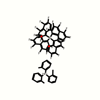 Cc1ccccc1[PH+](c1ccccc1C)c1ccccc1C.Fc1ccc2c([B-](c3c(F)c(F)c(F)c4c(F)c(F)ccc34)(c3c(F)c(F)c(F)c4c(F)c(F)ccc34)c3c(F)c(F)c(F)c4c(F)c(F)ccc34)c(F)c(F)c(F)c2c1F